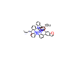 C=C/C(=C\C=C/C)c1cccc(-c2ccccc2)c1[N+]12c3ccccc3[N+]13c1cccc4c1[N+]1(c5c(ccc6c7ccccc7n(c56)-c5cc(C(C)(C)C)cc[n+]51)-c1cc5occc5cc1-4)C32